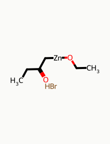 Br.CC[O][Zn][CH2]C(=O)CC